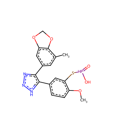 COc1ccc(-c2[nH]nnc2-c2cc(C)c3c(c2)OCO3)cc1S[PH](=O)O